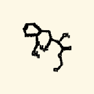 COc1ccccc1CC(C)N(C)C(=O)OCCl